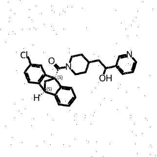 O=C(N1CCC(CC(O)c2cccnc2)CC1)[C@@]12C[C@@H](c3ccccc31)c1ccc(Cl)cc12